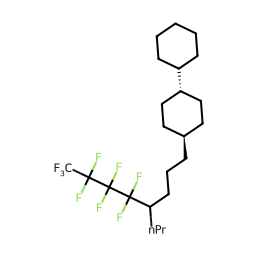 CCCC(CCC[C@H]1CC[C@H](C2CCCCC2)CC1)C(F)(F)C(F)(F)C(F)(F)C(F)(F)F